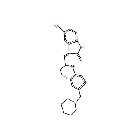 CCC(C=C1C(=O)Nc2ccc(N)cc21)Nc1ccc(CN2CCCCC2)cc1